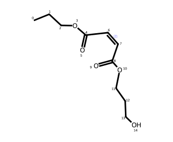 CCCOC(=O)/C=C\C(=O)OCCCO